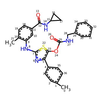 Cc1ccc(-c2nc(Nc3cc(C(=O)NC4CC4)ccc3C)sc2OC(=O)NCc2ccccc2)cc1